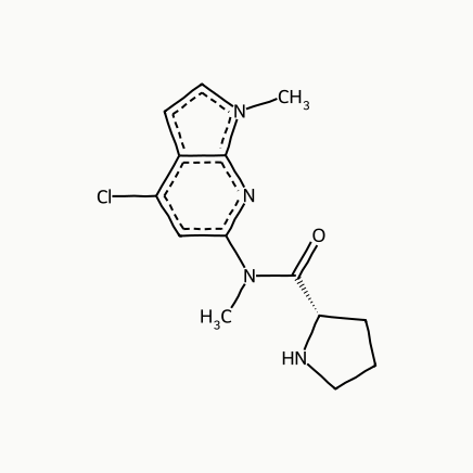 CN(C(=O)[C@@H]1CCCN1)c1cc(Cl)c2ccn(C)c2n1